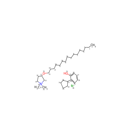 CCCCCCCCCCCCCCCCOC1CC[N+](C)(C)C1.Oc1ccccc1C1CCCC1.[Br-]